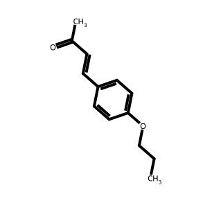 CCCOc1ccc(/C=C/C(C)=O)cc1